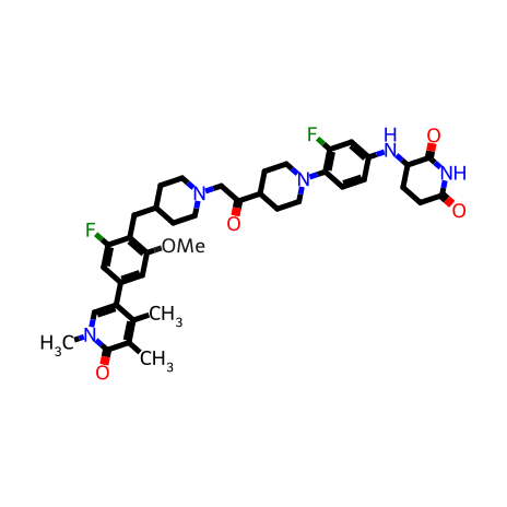 COc1cc(-c2cn(C)c(=O)c(C)c2C)cc(F)c1CC1CCN(CC(=O)C2CCN(c3ccc(NC4CCC(=O)NC4=O)cc3F)CC2)CC1